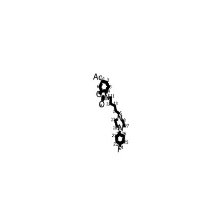 CC(=O)c1ccc2c(c1)oc(=O)n2CCCCCN1CCN(c2ccc(F)cc2)CC1